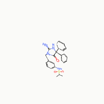 CC(C)S(=O)(=O)Nc1cccc(CN2C(=N)NC(c3ccccc3)(C3C=CC=CC3)C2=O)c1